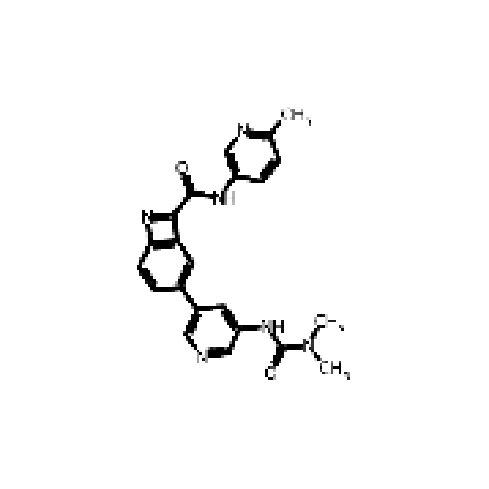 Cc1ccc(NC(=O)C2=Nc3ccc(-c4cncc(NC(=O)N(C)C)c4)cc32)cn1